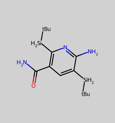 CC(C)(C)[SiH2]c1cc(C(N)=O)c([SiH2]C(C)(C)C)nc1N